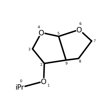 CC(C)OC1COC2OCCC12